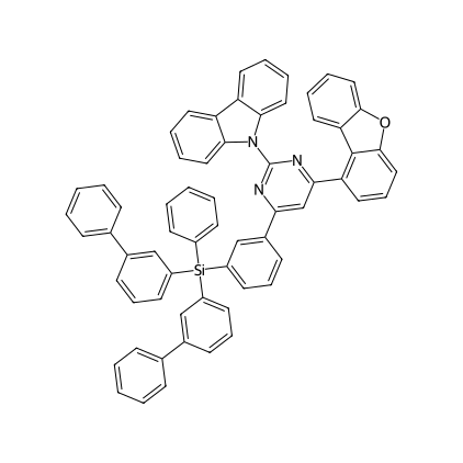 c1ccc(-c2cccc([Si](c3ccccc3)(c3cccc(-c4ccccc4)c3)c3cccc(-c4cc(-c5cccc6oc7ccccc7c56)nc(-n5c6ccccc6c6ccccc65)n4)c3)c2)cc1